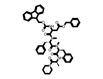 C[C@H](NC(=O)[C@H](Cc1ccccc1)N(C)C(=O)[C@H](Cc1ccccc1)N(C)C(=O)C(CC(=O)OCc1ccccc1)NC(=O)OCC1c2ccccc2-c2ccccc21)C(=O)N1CCCCC1